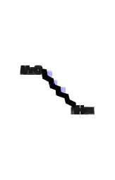 [CH2]O/C=C/C=C/C=C/CCCCCCCCC